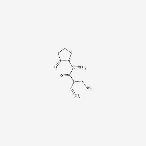 C=CN(CN)C(=O)C(=C)N1CCCC1=O